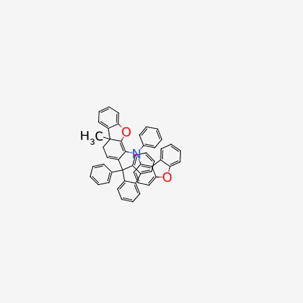 CC12CC=C(C3(c4ccccc4)c4ccccc4-c4ccccc43)C(N(c3ccccc3)c3cccc4oc5ccccc5c34)=C1Oc1ccccc12